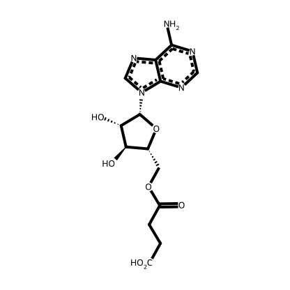 Nc1ncnc2c1ncn2[C@@H]1O[C@H](COC(=O)CCC(=O)O)[C@@H](O)[C@@H]1O